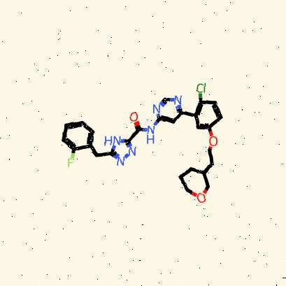 O=C(Nc1cc(-c2cc(OCCC3CCCOC3)ccc2Cl)ncn1)c1nnc(Cc2ccccc2F)[nH]1